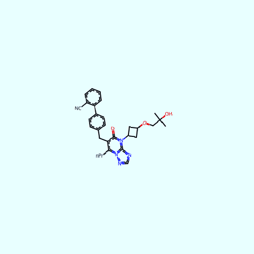 CCCc1c(Cc2ccc(-c3ccccc3C#N)cc2)c(=O)n(C2CC(OCC(C)(C)O)C2)c2ncnn12